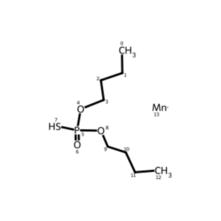 CCCCOP(=O)(S)OCCCC.[Mn]